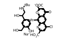 CC(C)(C)NCC(O)c1ccc(O)c(CO)c1.CCCc1c2nc(C(=O)O)cc(Cl)c2cc2c(=O)cc(C(=O)[O-])oc12.[Na+]